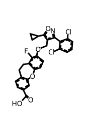 O=C(O)c1ccc2c(c1)Oc1ccc(OCc3c(-c4c(Cl)cccc4Cl)noc3C3CC3)c(F)c1CC2